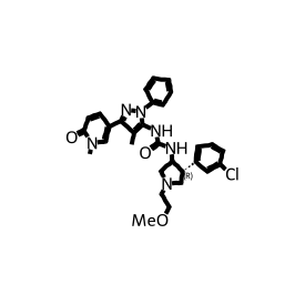 COCCN1CC(NC(=O)Nc2c(C)c(-c3ccc(=O)n(C)c3)nn2-c2ccccc2)[C@H](c2cccc(Cl)c2)C1